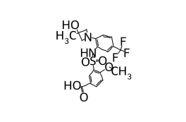 COc1ccc(C(=O)O)cc1S(=O)(=O)Nc1cc(C(F)(F)F)ccc1N1CC(C)(O)C1